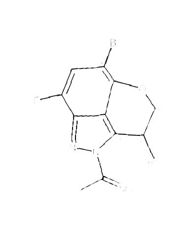 CC(=O)n1nc2c(F)cc(Br)c3c2c1C(C)CO3